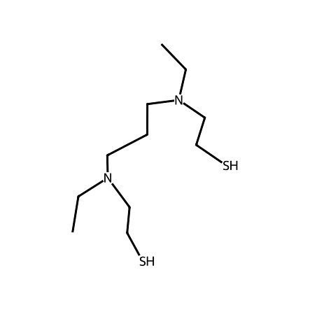 CCN(CCS)CCCN(CC)CCS